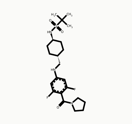 CC(C)(C)S(=O)(=O)N[C@H]1CC[C@H](CNc2cc(F)c(C(=O)N3CCCC3)c(F)c2)CC1